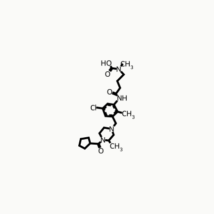 Cc1c(CN2CCN(C(=O)C3CCCC3)C(C)C2)cc(Cl)cc1NC(=O)CCCN(C)C(=O)O